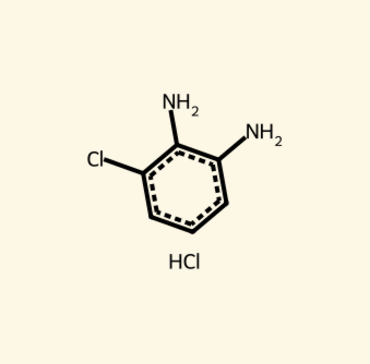 Cl.Nc1cccc(Cl)c1N